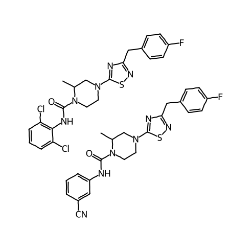 CC1CN(c2nc(Cc3ccc(F)cc3)ns2)CCN1C(=O)Nc1c(Cl)cccc1Cl.CC1CN(c2nc(Cc3ccc(F)cc3)ns2)CCN1C(=O)Nc1cccc(C#N)c1